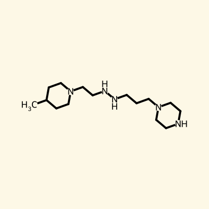 CC1CCN(CCNNCCCN2CCNCC2)CC1